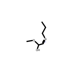 CCC/N=C\C(O)OC